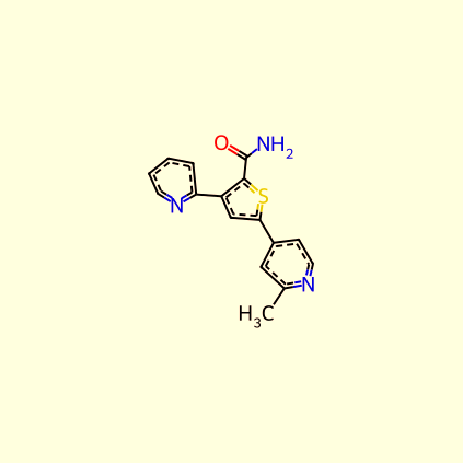 Cc1cc(-c2cc(-c3ccccn3)c(C(N)=O)s2)ccn1